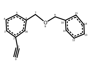 C#Cc1cccc(COCc2ccccc2)c1